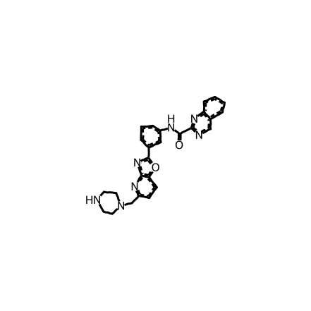 O=C(Nc1cccc(-c2nc3nc(CN4CCNCC4)ccc3o2)c1)c1ncc2ccccc2n1